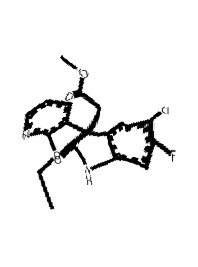 CCOc1ncccc1C1(CC(=O)OC)C(=O)Nc2cc(F)c(Cl)cc21